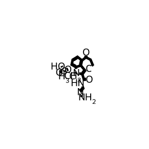 CS(=O)(=O)O.Cn1c(C(=O)NC=NN)c2c3c(cccc31)C(=O)CCC2